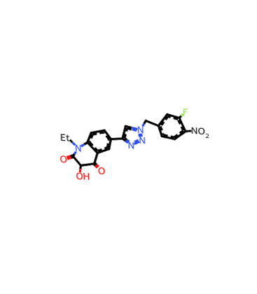 CCN1C(=O)C(O)C(=O)c2cc(-c3cn(Cc4ccc([N+](=O)[O-])c(F)c4)nn3)ccc21